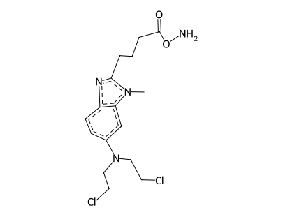 Cn1c(CCCC(=O)ON)nc2ccc(N(CCCl)CCCl)cc21